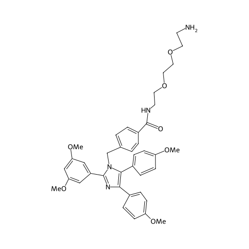 COc1ccc(-c2nc(-c3cc(OC)cc(OC)c3)n(Cc3ccc(C(=O)NCCOCCOCCN)cc3)c2-c2ccc(OC)cc2)cc1